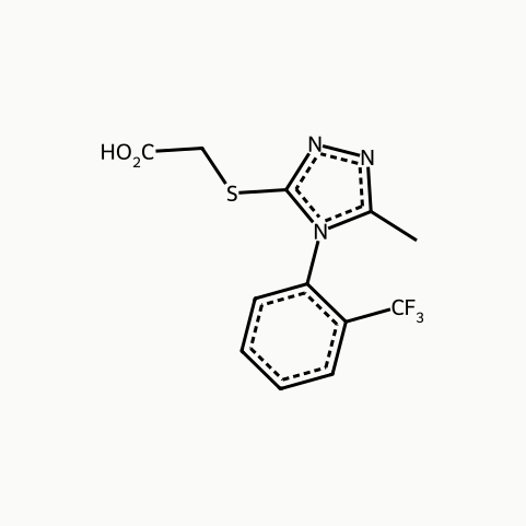 Cc1nnc(SCC(=O)O)n1-c1ccccc1C(F)(F)F